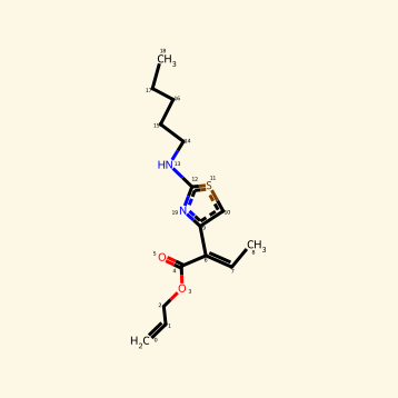 C=CCOC(=O)/C(=C/C)c1csc(NCCCCC)n1